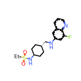 CCS(=O)(=O)N[C@H]1CC[C@H](CNc2cc(F)c3ncccc3c2)CC1